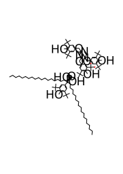 CC(C)(C)c1cc(OC2=NC(Oc3cc(C(C)(C)C)c(O)c(C(C)(C)C)c3)N(Oc3cc(C(C)(C)C)c(O)c(C(C)(C)C)c3)C=N2)cc(C(C)(C)C)c1O.CCCCCCCCCCCCCCCCCCC(CCCCCCCCCCCCCCCCCC)(c1cc(C(C)(C)C)c(O)c(C(C)(C)C)c1)P(=O)(O)O